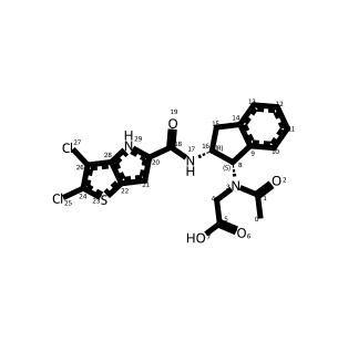 CC(=O)N(CC(=O)O)[C@H]1c2ccccc2C[C@H]1NC(=O)c1cc2sc(Cl)c(Cl)c2[nH]1